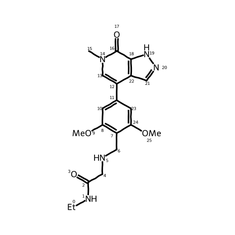 CCNC(=O)CNCc1c(OC)cc(-c2cn(C)c(=O)c3[nH]ncc23)cc1OC